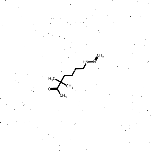 C=NNCCCCC(C)(C)C(C)=O